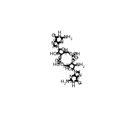 Nc1nc2c(ncn2[C@@H]2O[C@@H]3COP(=O)(O)OC4C(O)[C@H](n5cnc6c(=O)[nH]c(N)nc65)O[C@@H]4COP(=O)(O)OC3C2N)c(=O)[nH]1